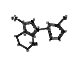 FC(F)(F)c1nn(-c2cccc(Br)c2)c2c1CCCN2